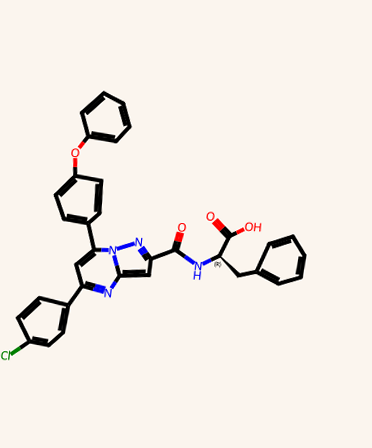 O=C(N[C@H](Cc1ccccc1)C(=O)O)c1cc2nc(-c3ccc(Cl)cc3)cc(-c3ccc(Oc4ccccc4)cc3)n2n1